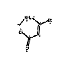 CCC(C)=CC(=O)Cl.CN